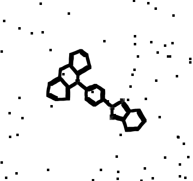 c1ccc2c(c1)Cc1ccccc1N2c1ccc(-n2nc3ccccc3n2)cc1